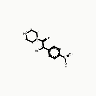 O=C(C(O)c1ccc([N+](=O)[O-])cc1)N1CCNCC1